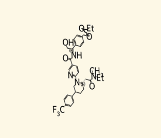 CCN(C)C(=O)C[C@@H]1CCC(c2ccc(C(F)(F)F)cc2)CN1c1ccc(C(=O)N[C@@H](CO)c2ccc(S(=O)(=O)CC)cc2)cn1